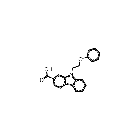 O=C(O)c1ccc2c3ccccc3n(CCOc3ccccc3)c2c1